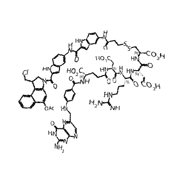 CC(=O)Oc1cc2c(c3ccccc13)C(CCl)CN2C(=O)c1cc2cc(NC(=O)c3cc4cc(NC(=O)CCSSC[C@H](NC(=O)[C@H](CC(=O)O)NC(=O)[C@H](CCCNC(=N)N)NC(=O)[C@H](CC(=O)O)NC(=O)CC[C@H](NC(=O)c5ccc(NCc6cnc7nc(N)[nH]c(=O)c7n6)cc5)C(=O)O)C(=O)O)ccc4[nH]3)ccc2[nH]1